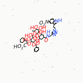 CC1CC(C(=O)NCc2cn(CCc3c[nH]c4ccc([N+](=O)[O-])cc34)nn2)C[C@@H](O[C@@H]2OC(CO)[C@H](O)C(O[C@@H](CC3CCCCC3)C(=O)O)C2OC(=O)c2ccccc2)C1O[C@@H]1OC(C)[C@@H](O)C(O)C1O